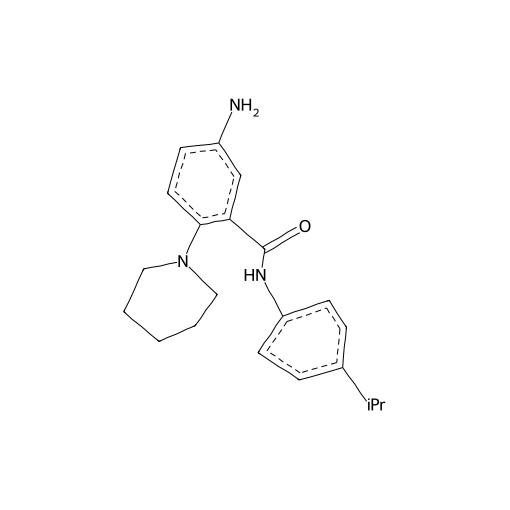 CC(C)c1ccc(NC(=O)c2cc(N)ccc2N2CCCCC2)cc1